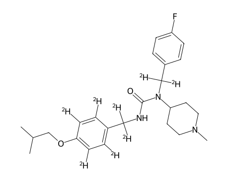 [2H]c1c([2H])c(C([2H])([2H])NC(=O)N(C2CCN(C)CC2)C([2H])([2H])c2ccc(F)cc2)c([2H])c([2H])c1OCC(C)C